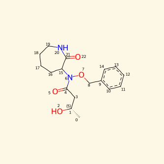 C[C@H](O)CC(=O)N(OCc1ccccc1)C1CCCCNC1=O